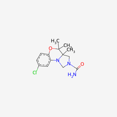 CC1(C)Oc2ccc(Cl)cc2N2CN(C(N)=O)CC21C